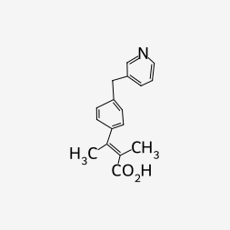 CC(C(=O)O)=C(C)c1ccc(Cc2cccnc2)cc1